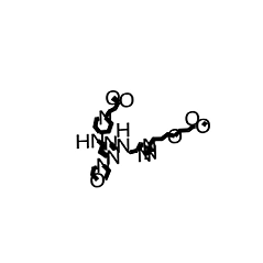 COC(=O)CCOCCCn1cc(CNc2nc(NC3CCN(CCC(=O)OC)CC3)cc(N3CCOCC3)n2)nn1